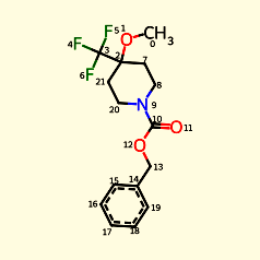 COC1(C(F)(F)F)CCN(C(=O)OCc2ccccc2)CC1